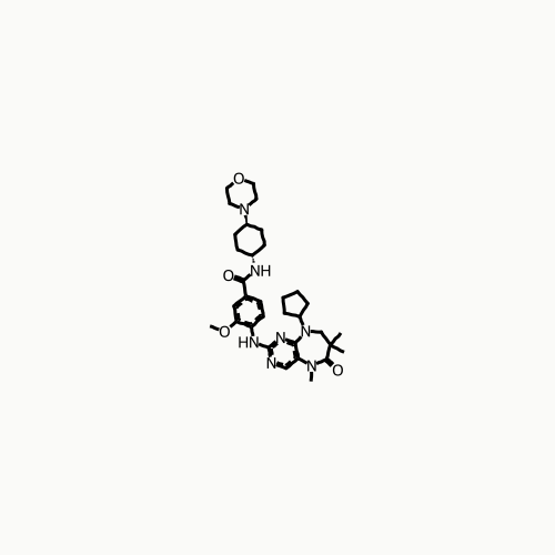 COc1cc(C(=O)N[C@H]2CC[C@H](N3CCOCC3)CC2)ccc1Nc1ncc2c(n1)N(C1CCCC1)CC(C)(C)C(=O)N2C